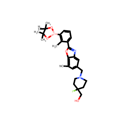 Cc1c(B2OC(C)(C)C(C)(C)O2)cccc1-c1nc2cc(CN3CCC(F)(CO)CC3)cc(C#N)c2o1